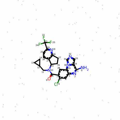 Nc1nc2cc(Cl)c(C(=O)N(CC3CC3)C3CCc4nc(C(F)(F)F)ccc43)cc2n2cncc12